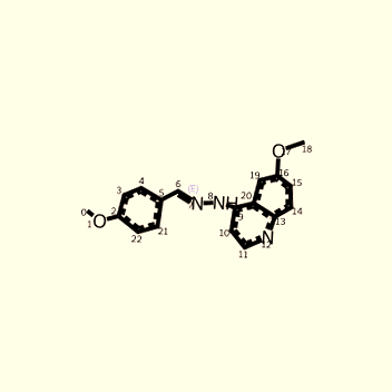 COc1ccc(/C=N/Nc2ccnc3ccc(OC)cc23)cc1